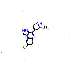 CC1CC(c2nc3ccc(Cl)cc3n3cnnc23)=CCN1